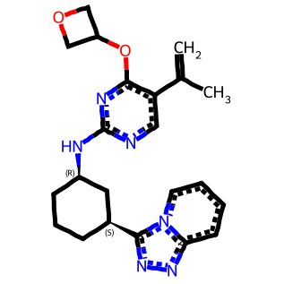 C=C(C)c1cnc(N[C@@H]2CCC[C@H](c3nnc4ccccn34)C2)nc1OC1COC1